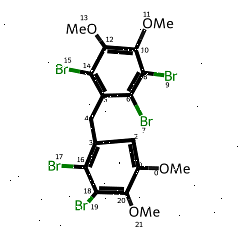 COc1cc(Cc2c(Br)c(Br)c(OC)c(OC)c2Br)c(Br)c(Br)c1OC